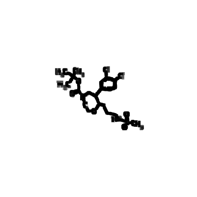 CC(C)(C)OC(=O)N1CCOC(CCCNS(C)(=O)=O)C(c2ccc(Cl)c(Cl)c2)C1